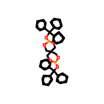 c1ccc(C(OP2OCC3(CO2)COP(OC(c2ccccc2)(c2ccccc2)c2ccccc2)OC3)(c2ccccc2)c2ccccc2)cc1